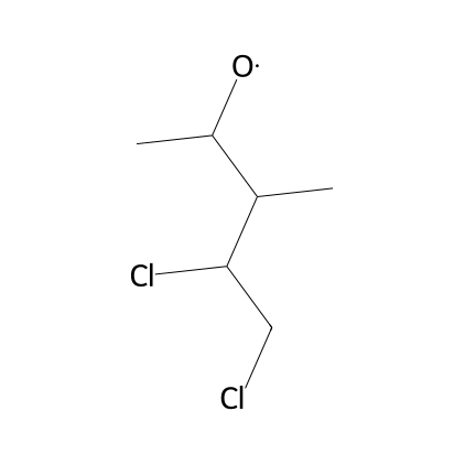 CC([O])C(C)C(Cl)CCl